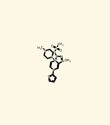 CN1CCN([N+]23C=CN(c4cccs4)C=C2N=NN3OS(C)(=O)=O)CC1.O